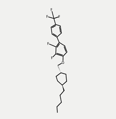 CCCCC[C@H]1CC[C@H](COc2ccc(-c3ccc(C(F)(F)F)cc3)c(F)c2F)CC1